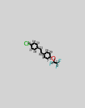 FC(F)=C(F)Oc1ccc(C=Cc2ccc(Cl)cc2)cc1